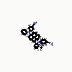 C[Si](C)(C)c1ccccc1N(c1ccc(C#N)cc1)c1ccc2ccc3c(N(c4ccccc4)c4ccc(C#N)cc4)ccc4ccc1c2c43